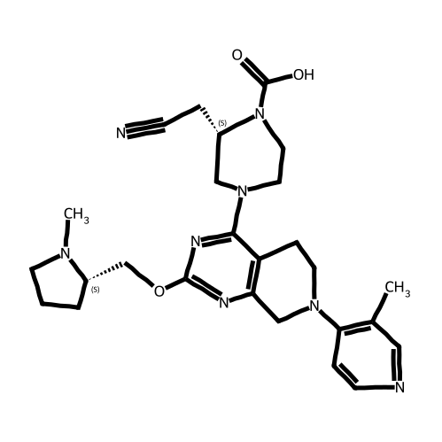 Cc1cnccc1N1CCc2c(nc(OC[C@@H]3CCCN3C)nc2N2CCN(C(=O)O)[C@@H](CC#N)C2)C1